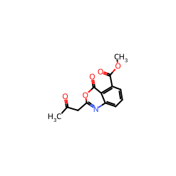 COC(=O)c1cccc2nc(CC(C)=O)oc(=O)c12